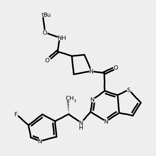 C[C@H](Nc1nc(C(=O)N2CC(C(=O)NOC(C)(C)C)C2)c2sccc2n1)c1cncc(F)c1